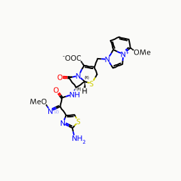 CO/N=C(\C(=O)N[C@@H]1C(=O)N2C(C(=O)[O-])=C(Cn3cc[n+]4c(OC)cccc34)CS[C@H]12)c1csc(N)n1